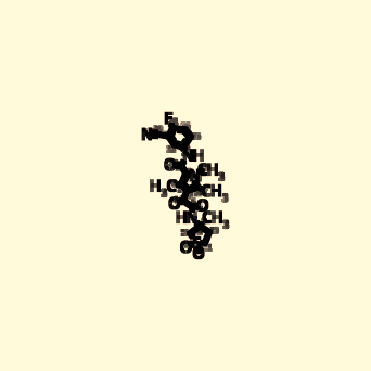 Cc1c(C(=O)C(=O)N[C@]2(C)CCS(=O)(=O)C2)c(C)n(C)c1C(=O)Nc1ccc(F)c(C#N)c1